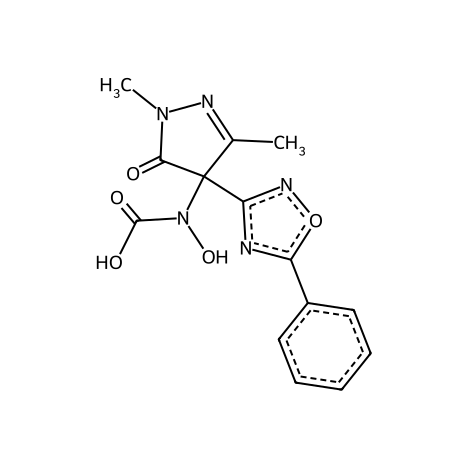 CC1=NN(C)C(=O)C1(c1noc(-c2ccccc2)n1)N(O)C(=O)O